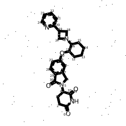 O=C1CCC(N2Cc3cc(OC4CCCCC4N4CC(c5ccccn5)C4)ccc3C2=O)C(=O)N1